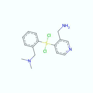 CN(C)Cc1ccccc1S(Cl)(Cl)c1ccncc1CN